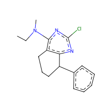 CCN(C)c1nc(Cl)nc2c1CCCC2c1ccccc1